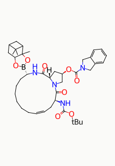 CC(C)(C)OC(=O)N[C@H]1C/C=C\CCCCCC[C@H](B2OC3CC4CC(C4(C)C)C3(C)O2)NC(=O)[C@@H]2C[C@@H](OC(=O)N3Cc4ccccc4C3)CN2C1=O